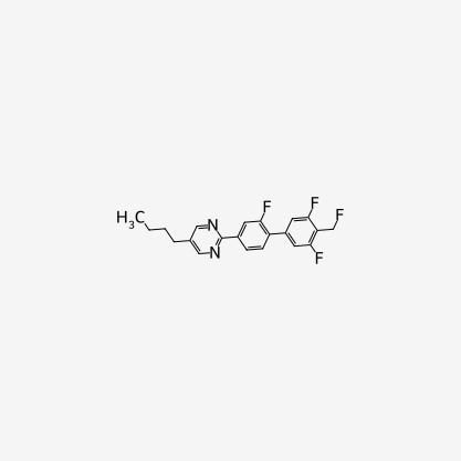 CCCCc1cnc(-c2ccc(-c3cc(F)c(CF)c(F)c3)c(F)c2)nc1